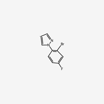 Fc1ccc(-n2c[c]cn2)c(Br)c1